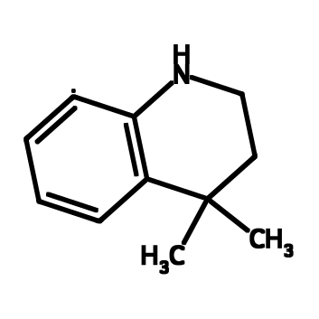 CC1(C)CCNc2[c]cccc21